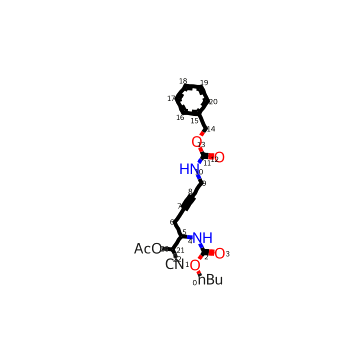 CCCCOC(=O)NC(CC#CCNC(=O)OCc1ccccc1)C(C#N)OC(C)=O